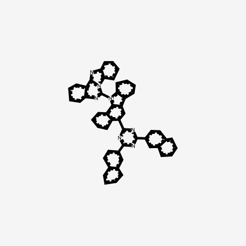 c1ccc2cc(-c3nc(-c4ccc5ccccc5c4)nc(-c4cc5c6ccccc6n(-c6nc7ccccc7c7nc8ccccc8n67)c5c5ccccc45)n3)ccc2c1